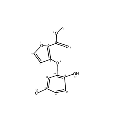 COC(=O)c1occc1Oc1cc(Cl)ccc1O